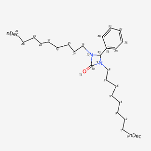 CCCCCCCCCCCCCCCCCCN1C(=O)N(CCCCCCCCCCCCCCCCCC)C1c1ccccc1